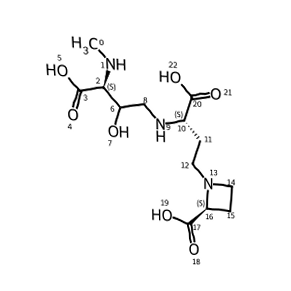 CN[C@H](C(=O)O)C(O)CN[C@@H](CCN1CC[C@H]1C(=O)O)C(=O)O